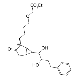 CCOC(=O)COCCCC[C@@H]1C(=O)CC2C(C(O)C(O)CCc3ccccc3)C21